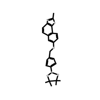 Cc1nc2ccc3cc(OCc4ccc(B5OC(C)(C)C(C)(C)O5)cc4)ccc3c2s1